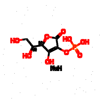 O=C1O[C@H]([C@@H](O)CO)C(O)=C1OP(=O)(O)O.[NaH]